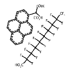 CCCCCCCCCCC(C(=O)O)c1ccc2ccc3cccc4ccc1c2c34.O=C(O)C(F)(F)C(F)(F)C(F)(F)C(F)(F)C(F)(F)C(F)(F)C(F)(F)C(F)(F)C(F)(F)F